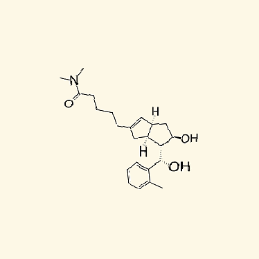 Cc1ccccc1[C@@H](O)[C@@H]1[C@H]2CC(CCCCC(=O)N(C)C)=C[C@H]2C[C@H]1O